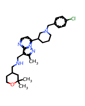 Cc1nn2c(C3CCCN(Cc4ccc(Cl)cc4)C3)ccnc2c1CNCC1CCOC(C)(C)C1